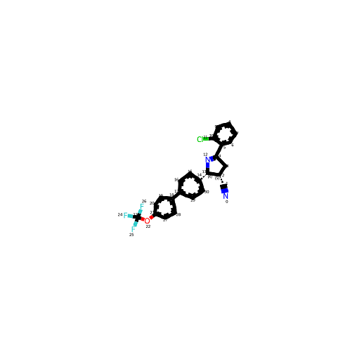 N#C[C@H]1CC(c2ccccc2Cl)=N[C@H]1c1ccc(-c2ccc(OC(F)(F)F)cc2)cc1